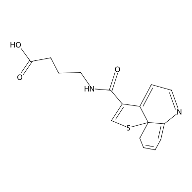 O=C(O)CCCNC(=O)C1=CSC23CC=CC=C2N=CC=C13